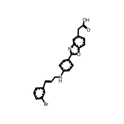 O=C(O)Cc1ccc2oc(-c3ccc(NCC=Cc4cccc(Br)c4)cc3)nc2c1